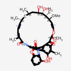 CO[C@H]1/C=C/O[C@@]2(C)Oc3c(C)c(O)c4c(=O)c(c5oc6cccc(O)c6nc-5c4c3C2=O)NC(=O)/C(C)=C\C=C\[C@H](C)C[C@@H](C)C[C@@H](O)[C@H](O)[C@@H]1C